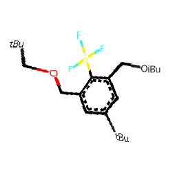 CC(C)COCc1cc(C(C)(C)C)cc(COCC(C)(C)C)c1S(F)(F)F